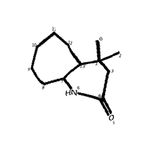 CC1(C)CC(=O)NC2CCCCCC21